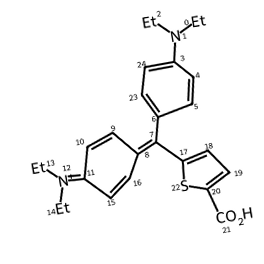 CCN(CC)c1ccc(C(=C2C=CC(=[N+](CC)CC)C=C2)c2ccc(C(=O)O)s2)cc1